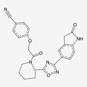 N#Cc1ccc(OCC(=O)N2CCCCC2c2nc(-c3ccc4c(c3)CC(=O)N4)no2)cc1